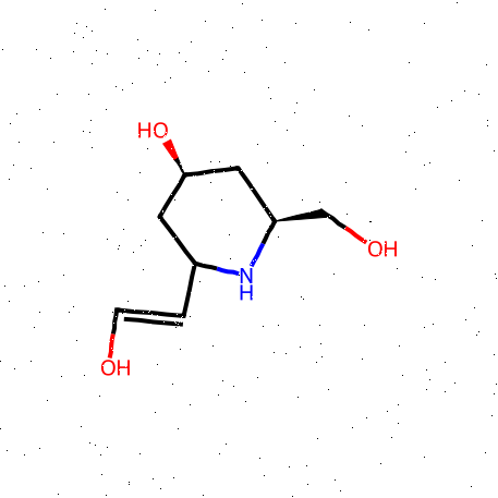 O/C=C/C1C[C@@H](O)C[C@@H](CO)N1